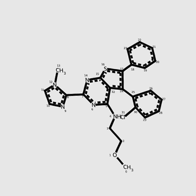 COCCNc1nc(-c2nccn2C)nc2sc(-c3ccccc3)c(-c3ccccc3Cl)c12